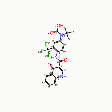 CC(C)(C)N(C(=O)O)c1ccc(NC(=O)c2c[nH]c3ccccc3c2=O)c(C(F)(F)F)c1